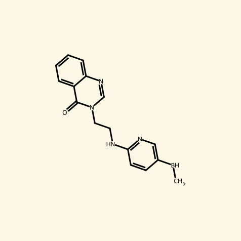 CBc1ccc(NCCn2cnc3ccccc3c2=O)nc1